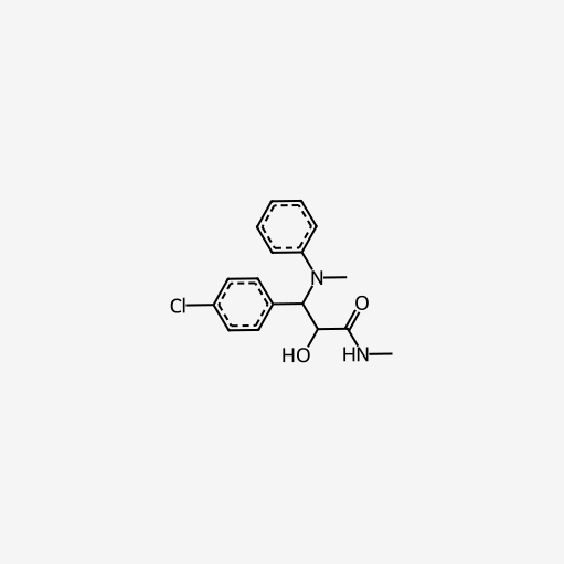 CNC(=O)C(O)C(c1ccc(Cl)cc1)N(C)c1ccccc1